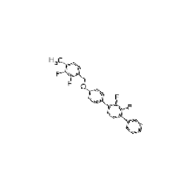 Cc1ccc(COc2ccc(-c3ccc(-c4ccccc4)c(F)c3F)cc2)c(F)c1F